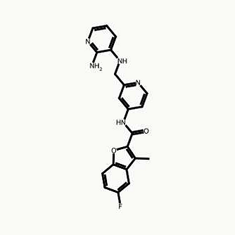 Cc1c(C(=O)Nc2ccnc(CNc3cccnc3N)c2)oc2ccc(F)cc12